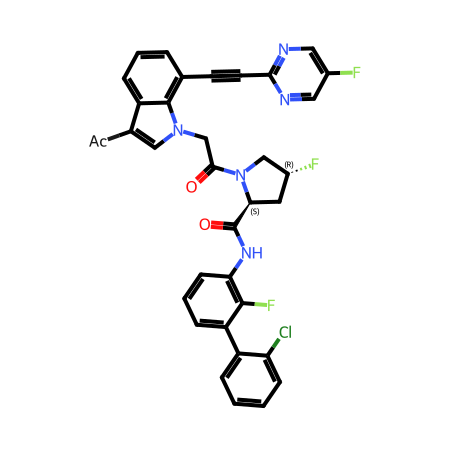 CC(=O)c1cn(CC(=O)N2C[C@H](F)C[C@H]2C(=O)Nc2cccc(-c3ccccc3Cl)c2F)c2c(C#Cc3ncc(F)cn3)cccc12